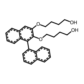 OCCCCOc1cc2ccccc2c(-c2cccc3ccccc23)c1OCCCCO